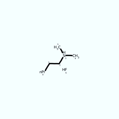 CCCCC[SiH](C)C.F